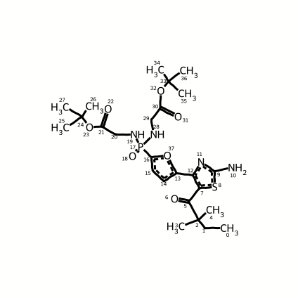 CCC(C)(C)C(=O)c1sc(N)nc1-c1ccc(P(=O)(NCC(=O)OC(C)(C)C)NCC(=O)OC(C)(C)C)o1